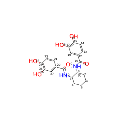 O=C(NC1CCCC[C@H]1NC(=O)c1ccc(O)c(O)c1)c1ccc(O)c(O)c1